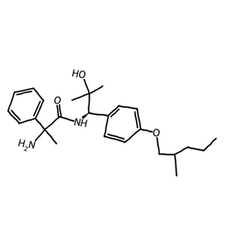 CCCC(C)COc1ccc([C@@H](NC(=O)C(C)(N)c2ccccc2)C(C)(C)O)cc1